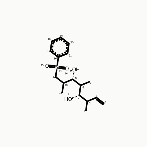 C=CC(C)[C@H](O)C(C)[C@@H](O)C(C)CS(=O)(=O)c1ccccc1